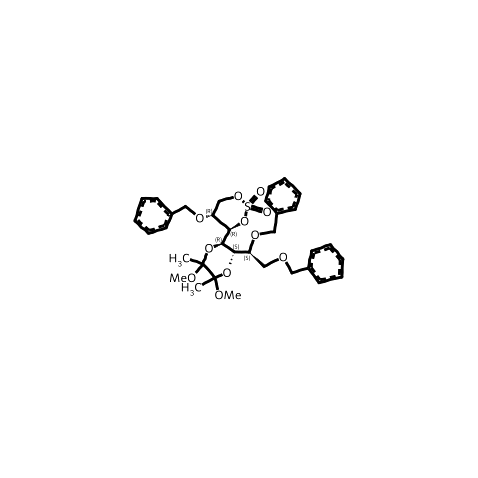 COC1(C)O[C@@H]([C@@H]2OS(=O)(=O)OC[C@H]2OCc2ccccc2)[C@H]([C@H](COCc2ccccc2)OCc2ccccc2)OC1(C)OC